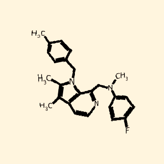 Cc1ccc(Cn2c(C)c(C)c3ccnc(CN(C)c4ccc(F)cc4)c32)cc1